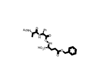 CC(=O)N[C@@H](C)C(=O)N[C@H](C(=O)ON[C@@H](CCC(=O)OCc1ccccc1)C(=O)O)C(C)C